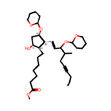 CCC#CCC(C)C(/C=C/[C@@H]1[C@@H](CCCCCCC(=O)OC)[C@@H](O)C[C@H]1OC1CCCCO1)OC1CCCCO1